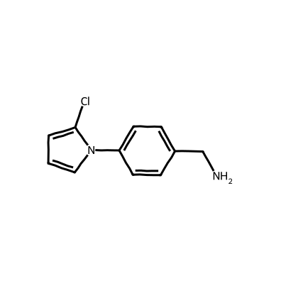 NCc1ccc(-n2cccc2Cl)cc1